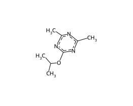 Cc1nc(C)nc(OC(C)C)n1